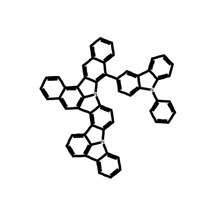 c1ccc(-n2c3ccccc3c3cc(-c4c5ccccc5cc5c6c7ccccc7cc7c8c9c%10cccc%11c%12ccccc%12n(c9ccc8n(c45)c76)c%11%10)ccc32)cc1